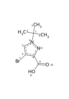 CC(C)(C)n1cc(Br)c(C(=O)O)n1